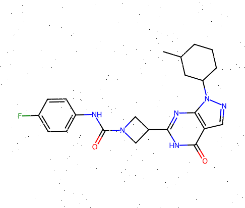 CC1CCCC(n2ncc3c(=O)[nH]c(C4CN(C(=O)Nc5ccc(F)cc5)C4)nc32)C1